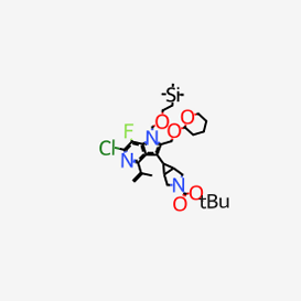 C=C(C)c1nc(Cl)c(F)c2c1c(C1C3CN(C(=O)OC(C)(C)C)CC31)c(COC1CCCCO1)n2COCC[Si](C)(C)C